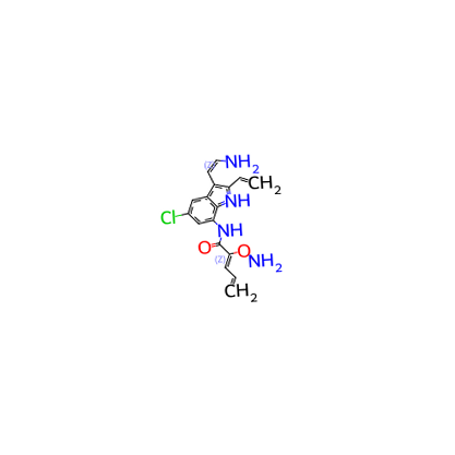 C=C/C=C(\ON)C(=O)Nc1cc(Cl)cc2c(/C=C\N)c(C=C)[nH]c12